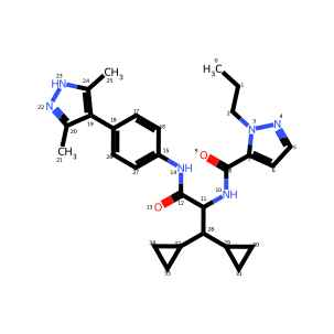 CCCn1nccc1C(=O)NC(C(=O)Nc1ccc(-c2c(C)n[nH]c2C)cc1)C(C1CC1)C1CC1